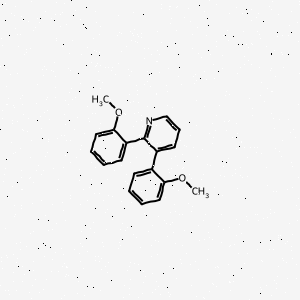 COc1ccccc1-c1cccnc1-c1ccccc1OC